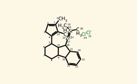 CC1=CCC(C2CCCC3C4C=CC=CC4[CH]([Zr+2]=[Si](C)C)C23)=C1C.[Cl-].[Cl-]